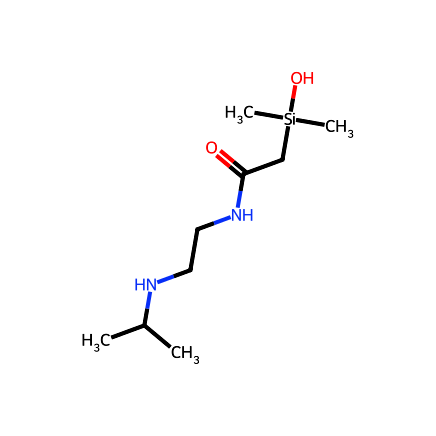 CC(C)NCCNC(=O)C[Si](C)(C)O